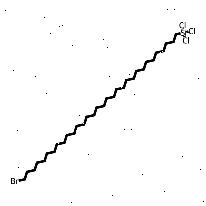 Cl[Si](Cl)(Cl)CCCCCCCCCCCCCCCCCCCCCCCCCCCCCCCCBr